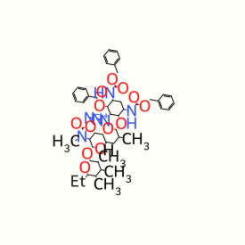 CCC1O[C@H](OC2O[C@H]3CC(C)[C@@H](O[C@@H]4C(NC(=O)OCc5ccccc5)C[C@@H](NC(=O)OCc5ccccc5)C(OC(=O)c5ccccc5)[C@H]4N=[N+]=[N-])OC3C3OC(=O)N(C)C23)C(C)[C@@H](C)[C@@H]1C